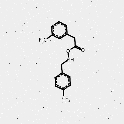 O=C(Cc1cccc(C(F)(F)F)c1)ONCc1ccc(C(F)(F)F)cc1